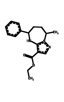 CCOC(=O)c1cnn2c1NC(c1ccccc1)CCC2C